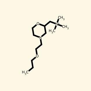 CCCOCCN1CCOC(C[N+](C)(C)C)C1